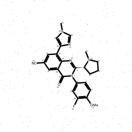 COc1ccc(-n2c([C@H]3CCCN3C)nc3c(-c4cn(C)cn4)cc(C#N)cc3c2=O)cc1F